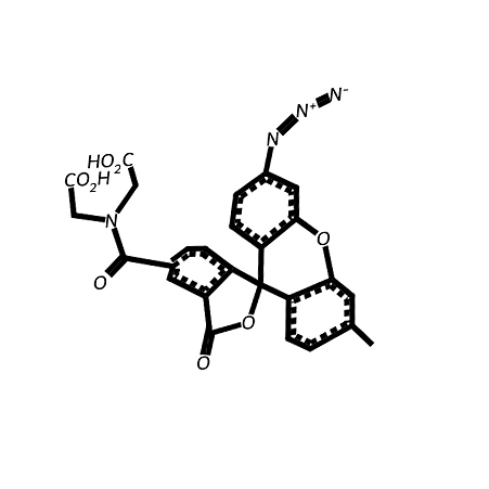 Cc1ccc2c(c1)Oc1cc(N=[N+]=[N-])ccc1C21OC(=O)c2cc(C(=O)N(CC(=O)O)CC(=O)O)ccc21